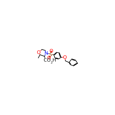 CC1OCCN(S(=O)(=O)c2ccc(OCc3ccccc3)cc2)C1C(=O)O